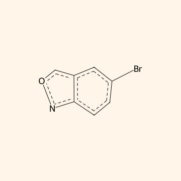 Brc1ccc2nocc2c1